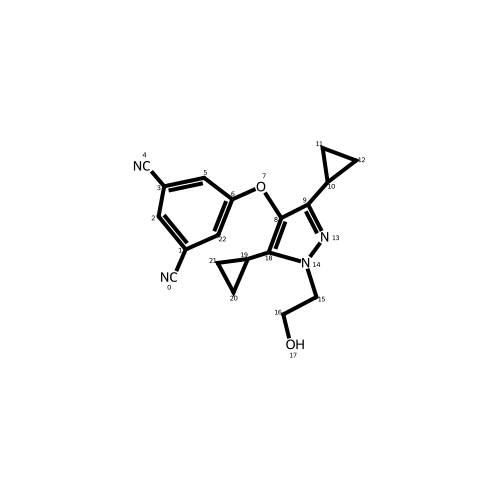 N#Cc1cc(C#N)cc(Oc2c(C3CC3)nn(CCO)c2C2CC2)c1